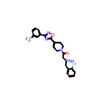 N[C@@H](CC(=O)N1CCC(c2nc(-c3cccc(C(F)(F)F)c3)no2)CC1)Cc1ccccc1F